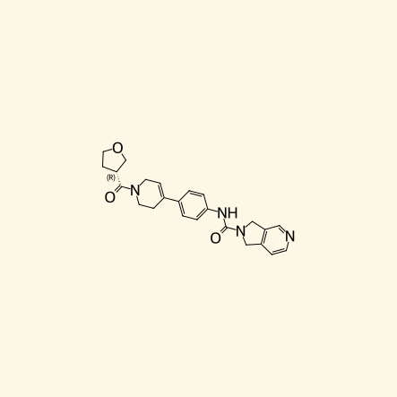 O=C(Nc1ccc(C2=CCN(C(=O)[C@@H]3CCOC3)CC2)cc1)N1Cc2ccncc2C1